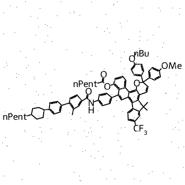 CCCCCC(=O)Oc1cccc2c1c(-c1ccc(NC(=O)c3ccc(-c4ccc(C5CCC(CCCCC)CC5)cc4)c(C)c3)cc1)cc1c3c(c4c(c12)OC(c1ccc(OC)cc1)(c1ccc(OCCCC)cc1)C=C4)C(C)(C)c1cc(C(F)(F)F)ccc1-3